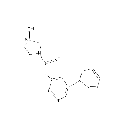 O=C(Cc1cncc(C2C=CC=CC2)c1)N1CC[C@@H](O)C1